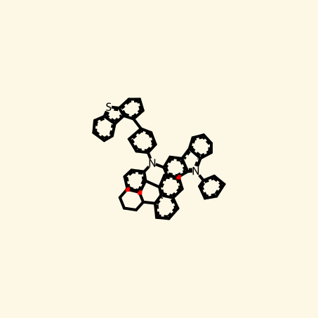 c1ccc(-n2c3ccccc3c3cc(N(c4ccc(-c5cccc6sc7ccccc7c56)cc4)c4ccccc4-c4cccc5cccc(C6CCCCC6)c45)ccc32)cc1